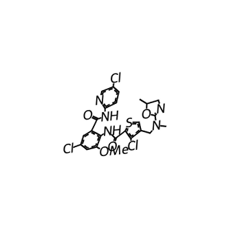 COc1cc(Cl)cc(C(=O)Nc2ccc(Cl)cn2)c1NC(=O)c1scc(CN(C)C2=NCC(C)O2)c1Cl